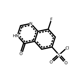 O=c1[nH]cnc2c(F)cc(S(=O)(=O)Cl)cc12